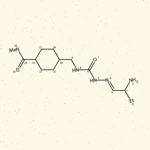 CCC(N)/C=N/NC(=O)NCC1CCC(C(=O)NC)CC1